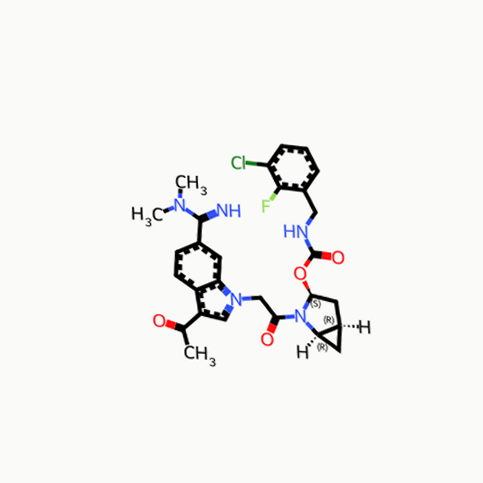 CC(=O)c1cn(CC(=O)N2[C@@H](OC(=O)NCc3cccc(Cl)c3F)C[C@H]3C[C@H]32)c2cc(C(=N)N(C)C)ccc12